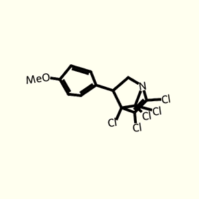 COc1ccc(C2CN3C(Cl)=C(Cl)C2(Cl)C3(Cl)Cl)cc1